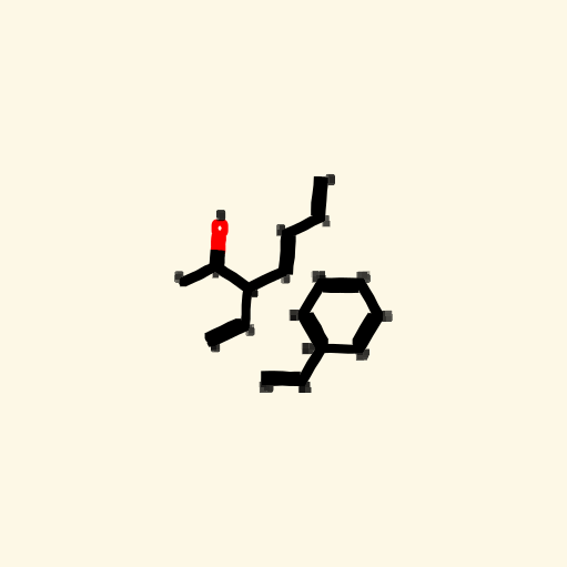 C=CC=CC(C=C)C(C)=O.C=Cc1ccccc1